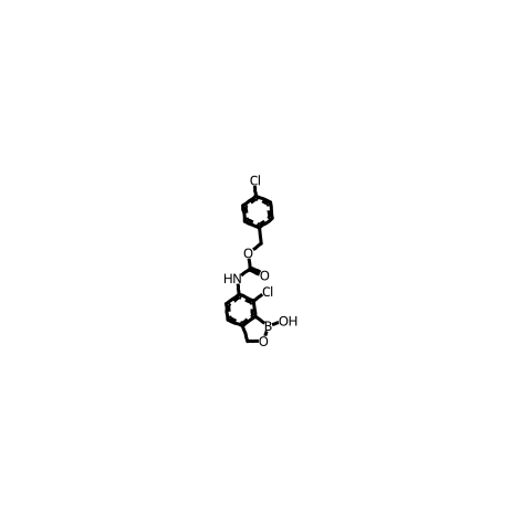 O=C(Nc1ccc2c(c1Cl)B(O)OC2)OCc1ccc(Cl)cc1